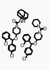 O=C(N1CCCCC1)N1CCC(OC(c2ccc(Cl)cc2)c2ccccc2Cl)CC1.O=C(NC12CC3CC(CC(C3)C1)C2)N1CCC(OC(c2ccc(Cl)cc2)c2ccccc2Cl)CC1